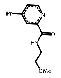 COCCNC(=O)c1cc(C(C)C)ccn1